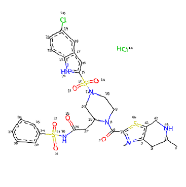 CC1Cc2nc(C(=O)N3CCN(S(=O)(=O)c4cc5cc(Cl)ccc5[nH]4)CC3CC(=O)NS(=O)(=O)c3ccccc3)sc2CN1.Cl